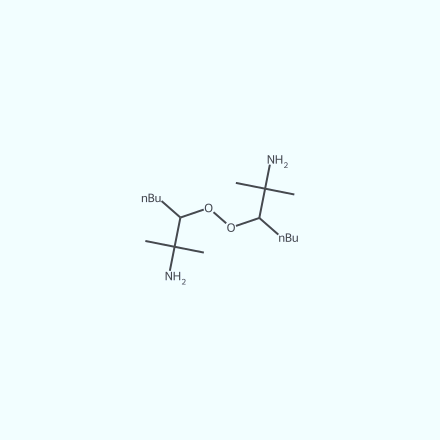 CCCCC(OOC(CCCC)C(C)(C)N)C(C)(C)N